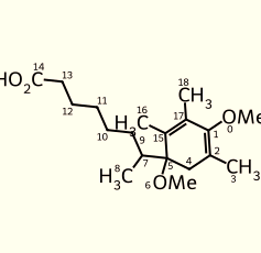 COC1=C(C)CC(OC)(C(C)CCCCCC(=O)O)C(C)=C1C